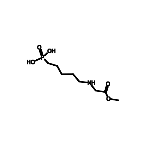 COC(=O)CNCCCCCP(=O)(O)O